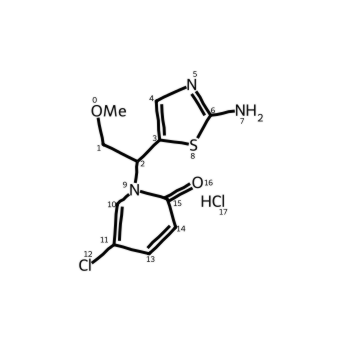 COCC(c1cnc(N)s1)n1cc(Cl)ccc1=O.Cl